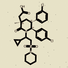 C[C@]1(CC(=O)O)C[C@H](c2cccc(Cl)c2)[C@@H](c2ccc(Cl)cc2)N(C(CS(=O)(=O)N2CCCCC2)C2CC2)C1=O